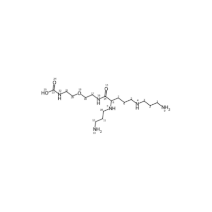 NCCCNCCCC(NCCCN)C(=O)NCCOCCNC(=O)O